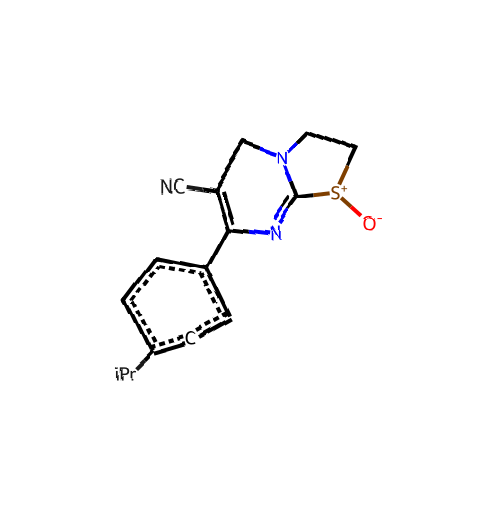 CC(C)c1ccc(C2=C(C#N)CN3CC[S+]([O-])C3=N2)cc1